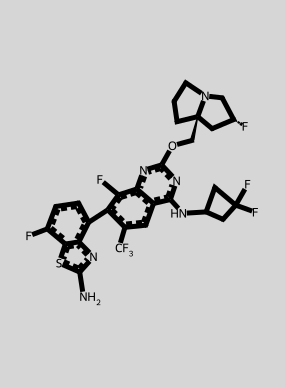 Nc1nc2c(-c3c(C(F)(F)F)cc4c(NC5CC(F)(F)C5)nc(OC[C@@]56CCCN5C[C@H](F)C6)nc4c3F)ccc(F)c2s1